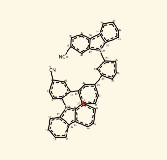 N#Cc1ccc(-n2c3ccccc3c3ccccc32)c(-c2cccc(-c3cccc(-n4c5ccccc5c5ccc(C#N)cc54)c3)c2)c1